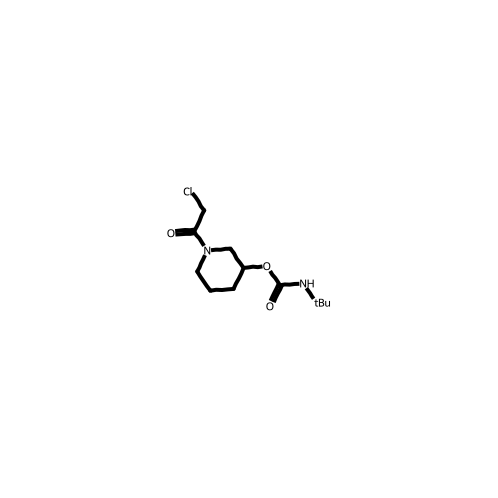 CC(C)(C)NC(=O)OC1CCCN(C(=O)CCl)C1